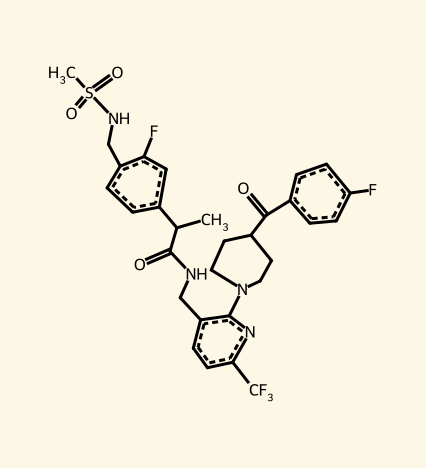 CC(C(=O)NCc1ccc(C(F)(F)F)nc1N1CCC(C(=O)c2ccc(F)cc2)CC1)c1ccc(CNS(C)(=O)=O)c(F)c1